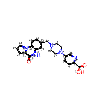 O=C(O)c1ccc(N2CCN(Cc3ccc4c(c3)[nH]c(=O)c3cccn34)CC2)cn1